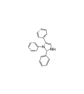 C1=C(c2ccccc2)N(c2ccccc2)C(c2ccccc2)N1